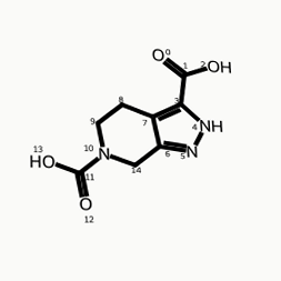 O=C(O)c1[nH]nc2c1CCN(C(=O)O)C2